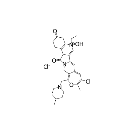 CC[N@@+]1(O)C=C2C3=CC4=CC(Cl)=C(C)OC(CN5CCC(C)CC5)=C4CN3C(=O)C2C2=C1CC(=O)CC2.[Cl-]